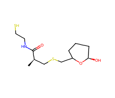 C[C@H](CSCC1CCC[C@@H](O)O1)C(=O)NCCS